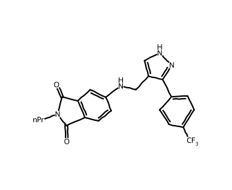 CCCN1C(=O)c2ccc(NCc3c[nH]nc3-c3ccc(C(F)(F)F)cc3)cc2C1=O